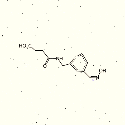 O=C(O)CCC(=O)NCc1cccc(/C=N\O)c1